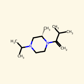 C=C(C(C)C)N1CCN(C(C)C)C[C@@H]1C